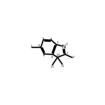 CC1=Nc2ccc(C)cc2C1(C)C